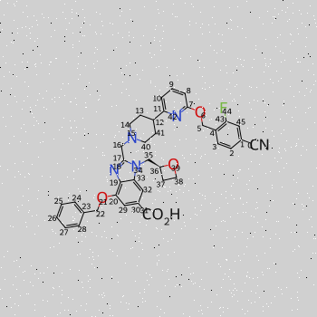 N#Cc1ccc(COc2cccc(C3CCN(Cc4nc5c(OCc6ccccc6)cc(C(=O)O)cc5n4C[C@@H]4CCO4)CC3)n2)c(F)c1